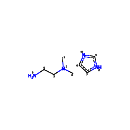 CN(C)CCN.c1c[nH]cn1